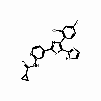 O=C(Nc1cc(-c2nc(-c3ccc(Cl)cc3Cl)c(-c3ncc[nH]3)s2)ccn1)C1CC1